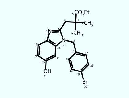 CCOC(=O)C(C)(C)Cc1nc2ccc(O)cc2n1Cc1ccc(Br)cc1